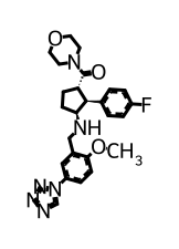 COc1ccc(-n2cnnn2)cc1CN[C@H]1CC[C@H](C(=O)N2CCOCC2)[C@H]1c1ccc(F)cc1